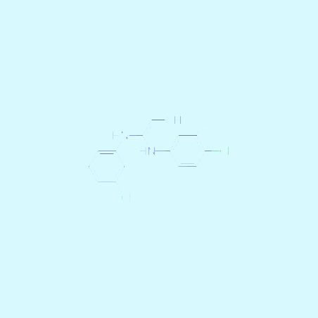 C/C=C(/Nc1cccc(Cl)c1)Nc1ccc(Cl)c(Cl)c1